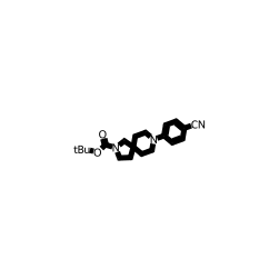 CC(C)(C)OC(=O)N1CCC2(CCN(c3ccc(C#N)cc3)CC2)C1